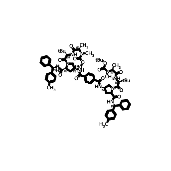 Cc1ccc([C@H](NC(=O)C2C[C@H](NC(=O)c3ccc(C(=O)N[C@H]4C[C@@H](C(=O)N[C@H](c5ccccc5)c5ccc(C)cc5)N(C(=O)[C@@H](NC(=O)[C@H](C)N(C)C(=O)OC(C)(C)C)C(C)(C)C)C4)cc3)CN2C(=O)[C@@H](NC(=O)[C@H](C)N(C)C(=O)OC(C)(C)C)C(C)(C)C)c2ccccc2)cc1